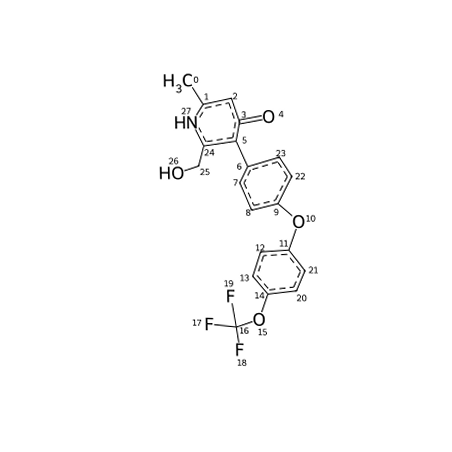 Cc1cc(=O)c(-c2ccc(Oc3ccc(OC(F)(F)F)cc3)cc2)c(CO)[nH]1